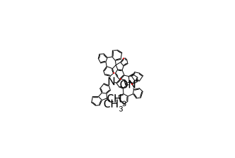 CC1(C)c2ccccc2-c2ccc(N(c3ccc4c(c3)-c3ccccc3-c3ccccc3N4c3ccccc3)c3ccc4c(c3)C3(c5ccccc5-c5ccccc5-4)c4ccccc4-c4c3ccc3oc5ccccc5c43)cc21